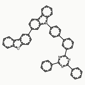 c1ccc(-c2nc(-c3ccccc3)nc(-c3cccc(-c4ccc(-n5c6ccccc6c6ccc(-c7ccc8oc9ccccc9c8c7)cc65)cc4)c3)n2)cc1